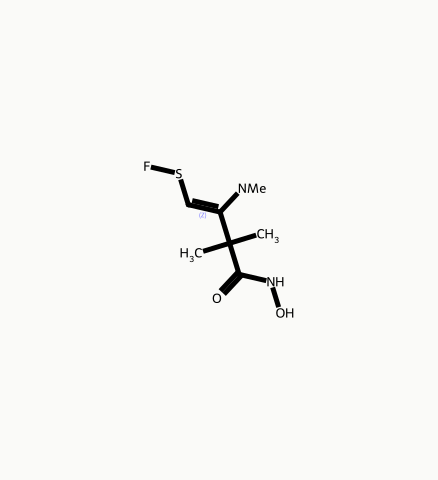 CN/C(=C\SF)C(C)(C)C(=O)NO